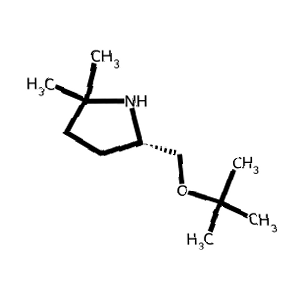 CC1(C)CC[C@@H](COC(C)(C)C)N1